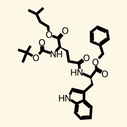 CC(C)CCOC(=O)[C@@H](CCC(=O)N[C@H](Cc1c[nH]c2ccccc12)C(=O)OCc1ccccc1)NC(=O)OC(C)(C)C